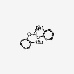 C[CH2][Al]([O]c1ccccc1C(C)(C)C)[O]c1ccccc1C(C)(C)C